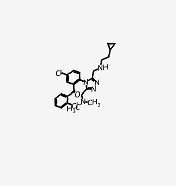 CN(C)Cc1nnc(CNCCC2CC2)n1-c1ccc(Cl)cc1C(=O)c1ccccc1Cl